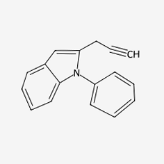 C#CCc1cc2ccccc2n1-c1ccccc1